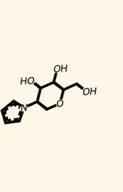 OCC1OCC(n2cccc2)C(O)C1O